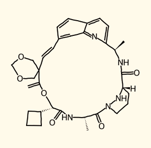 C=C1O[C@@H](C2CCC2)C(=O)N[C@@H](C)C(=O)N2CCC[C@H](N2)C(=O)N[C@H](C)c2ccc3ccc(cc3n2)/C=C/C12COCOC2